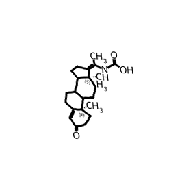 CC(NC(=O)O)=C1CCC2C3CCC4=CC(=O)CC[C@]4(C)C3CC[C@]12C